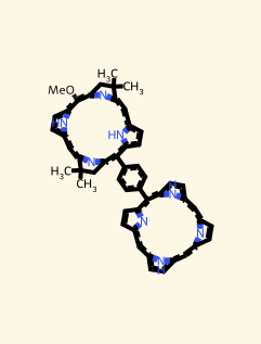 COc1c2nc(cc3ccc([nH]3)c(-c3ccc(-c4c5nc(cc6ccc(cc7nc(cc8ccc4[nH]8)C=C7)[nH]6)C=C5)cc3)c3nc(cc4ccc1[nH]4)C(C)(C)C3)C(C)(C)C2